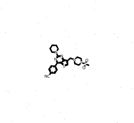 CS(=O)(=O)N1CCN(Cc2csc3c(-c4ccc(C#N)cc4)nc(N4CCCCC4)nc23)CC1